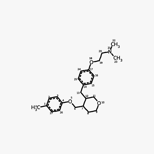 Cc1ccc(OCC2CCOCC2Cc2ccc(OCCN(C)C)cc2)cc1